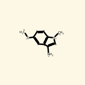 COc1ccc2c(c1)c(N)cn2C